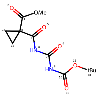 COC(=O)C1(C(=O)NC(=O)NC(=O)OC(C)(C)C)CC1